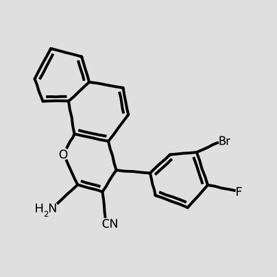 N#CC1=C(N)Oc2c(ccc3ccccc23)C1c1ccc(F)c(Br)c1